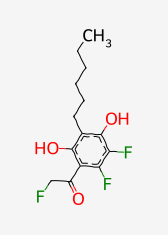 CCCCCCc1c(O)c(F)c(F)c(C(=O)CF)c1O